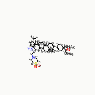 C=C(C)[C@@H]1CC[C@]2(NCCN3CCS(=O)(=O)CC3)CC[C@]3(C)[C@H](CC[C@@H]4[C@@]5(C)CC=C(C6=CCC(NC(C)=O)(C(=O)OC)CC6)C(C)(C)[C@@H]5CC[C@]43C)[C@@H]12